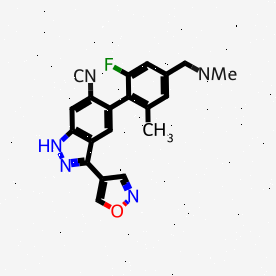 CNCc1cc(C)c(-c2cc3c(-c4cnoc4)n[nH]c3cc2C#N)c(F)c1